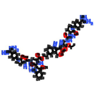 CCOC(=O)C(CNC(=O)NC1CCN(c2ccc(C(=N)N)cc2)C1=O)NC(=O)c1[nH]c2ccc(CCOC(=O)C(CNC(=O)NC3CCN(c4ccc(C(=N)N)cc4)C3=O)NC(=O)c3[nH]c4ccccc4c3OC)cc2c1C=O